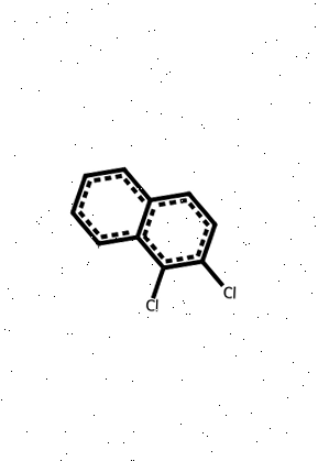 Clc1ccc2ccc[c]c2c1Cl